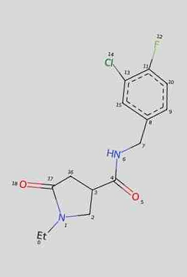 CCN1CC(C(=O)NCc2ccc(F)c(Cl)c2)CC1=O